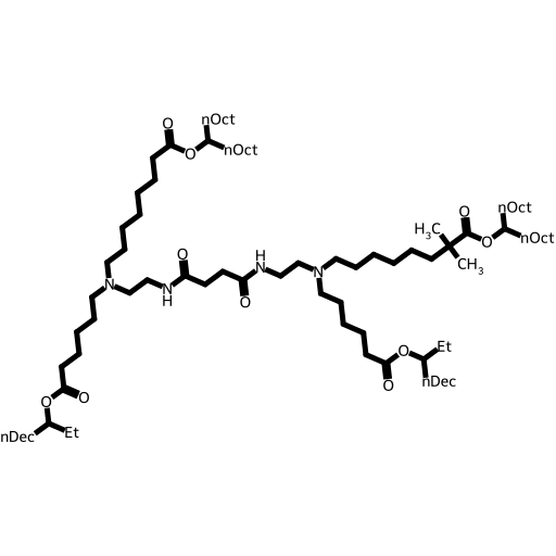 CCCCCCCCCCC(CC)OC(=O)CCCCCN(CCCCCCCC(=O)OC(CCCCCCCC)CCCCCCCC)CCNC(=O)CCC(=O)NCCN(CCCCCCC(C)(C)C(=O)OC(CCCCCCCC)CCCCCCCC)CCCCCC(=O)OC(CC)CCCCCCCCCC